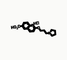 Cl.O=C(O)c1ccc2nc(OCCCN3CCCC3)ccc2c1